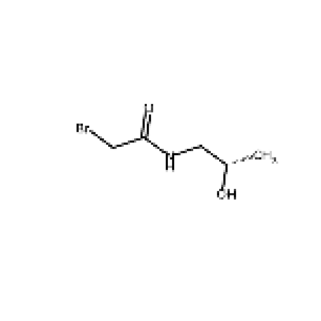 C[C@H](O)CNC(=O)CBr